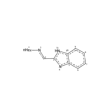 CCCCCC/N=C/c1nc2ccccc2[nH]1